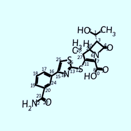 CC(O)[C@@H]1C(=O)N2C(C(=O)O)=C(Sc3nc(-c4cccc(C(N)=O)c4)cs3)[C@H](C)[C@@H]12